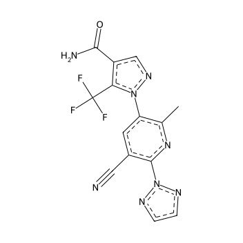 Cc1nc(-n2nccn2)c(C#N)cc1-n1ncc(C(N)=O)c1C(F)(F)F